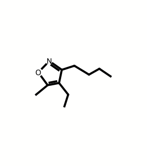 CCCCc1noc(C)c1CC